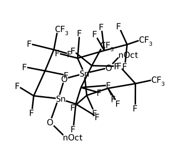 CCCCCCCC[O][Sn]([O][Sn]([O]CCCCCCCC)([C](F)(F)C(F)(F)C(F)(F)C(F)(F)F)[C](F)(F)C(F)(F)C(F)(F)C(F)(F)F)([C](F)(F)C(F)(F)C(F)(F)C(F)(F)F)[C](F)(F)C(F)(F)C(F)(F)C(F)(F)F